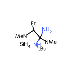 CCC(NC)C(N)(NC)NC(C)(C)C.[SiH4]